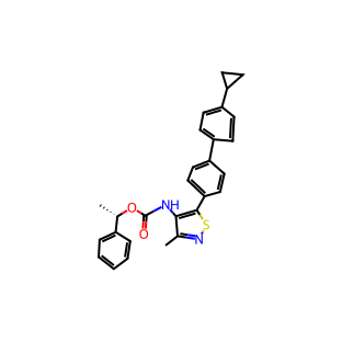 Cc1nsc(-c2ccc(-c3ccc(C4CC4)cc3)cc2)c1NC(=O)O[C@@H](C)c1ccccc1